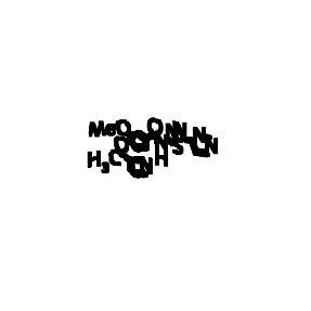 COc1cc(C(=O)Nc2nnc(-c3ccncn3)s2)ccc1OC(C)c1cccnc1